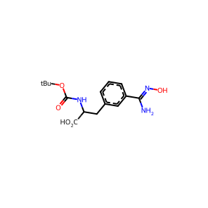 CC(C)(C)OC(=O)NC(Cc1cccc(/C(N)=N/O)c1)C(=O)O